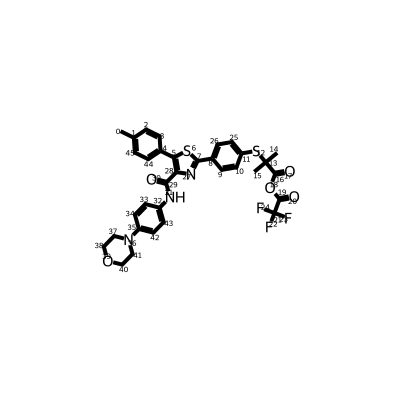 Cc1ccc(-c2sc(-c3ccc(SC(C)(C)C(=O)OC(=O)C(F)(F)F)cc3)nc2C(=O)Nc2ccc(N3CCOCC3)cc2)cc1